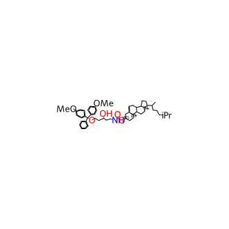 COc1ccc(C(OCCC(O)CCNC(=O)O[C@@H]2CC[C@]3(C)C(=CCC4C5CCC(C(C)CCCC(C)C)[C@]5(C)CCC43)C2)(c2ccccc2)c2ccc(OC)cc2)cc1